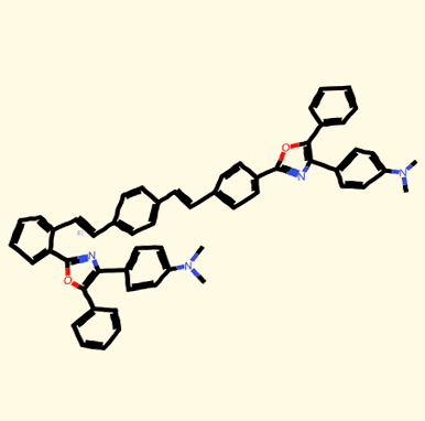 CN(C)c1ccc(-c2nc(-c3ccc(C=Cc4ccc(/C=C/c5ccccc5-c5nc(-c6ccc(N(C)C)cc6)c(-c6ccccc6)o5)cc4)cc3)oc2-c2ccccc2)cc1